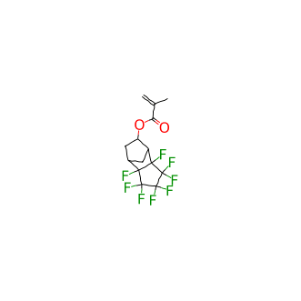 C=C(C)C(=O)OC1CC2CC1C1(F)C(F)(F)C(F)(F)C(F)(F)C21F